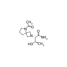 CC(=O)N1CCCC12CN([C@H](C(N)=O)[C@@H](C)O)C2